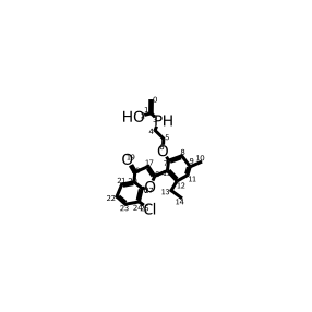 C=C(O)PCCOc1cc(C)cc(CC)c1-c1cc(=O)c2cccc(Cl)c2o1